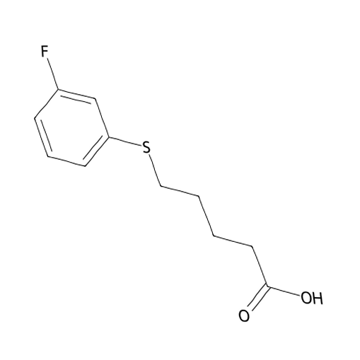 O=C(O)CCCCSc1cccc(F)c1